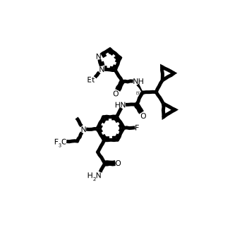 CCn1nccc1C(=O)N[C@H](C(=O)Nc1cc(N(C)CC(F)(F)F)c(CC(N)=O)cc1F)C(C1CC1)C1CC1